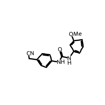 COc1cccc(NC(=O)Nc2ccc(CC#N)cc2)c1